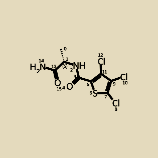 C[C@H](NC(=O)c1sc(Cl)c(Cl)c1Cl)C(N)=O